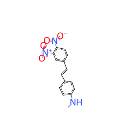 CNc1ccc(C=Cc2ccc([N+](=O)[O-])c([N+](=O)[O-])c2)cc1